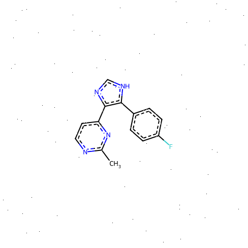 Cc1nccc(-c2nc[nH]c2-c2ccc(F)cc2)n1